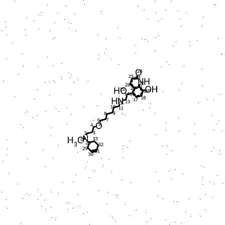 CN(CCCOCCCCCCNC[C@H](O)c1ccc(O)c2[nH]c(=O)ccc12)C1CC#CCC1